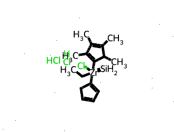 C[CH2][Zr](=[SiH2])([Cl])([C]1=CC=CC1)[C]1=C(C)C(C)=C(C)C1C.Cl.Cl